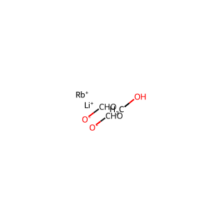 CO.O=C[O-].O=C[O-].[Li+].[Rb+]